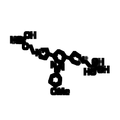 COc1ccc(-n2nc3c(-c4cc[n+](CCO[SiH](O)O)cc4)ccc(-c4cc[n+](CC[Si](O)(O)O)cc4)c3n2)cc1